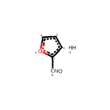 O=Cc1ccco1.[HH]